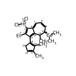 CCC1=[C]([Hf]([Cl])[Cl])C2=CC=C[C](=[Ge]([CH3])[CH3])C(C)C2=C1C1=C(C)C(C)=CC1